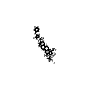 CC(C)C1=C2[C@H]3CC[C@@H]4[C@@]5(C)CC[C@H](OC(=O)[C@H]6C[C@@H](Cc7ccccc7)C6(C)C)C(C)(C)[C@@H]5CC[C@@]4(C)[C@]3(C)CC[C@@]2(NC(=O)C(C)(C)N)CC1=O